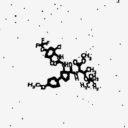 COC(=O)[C@@H](NC(=O)c1ccc(-c2ccc(OC)cc2)cc1NC(=O)Nc1c(Cl)cc(OC(F)(F)F)cc1Cl)C(C)OC(C)(C)C